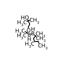 CCC(C)CC(C)(C)BBC(C)(C)OCCC(C)(C)O